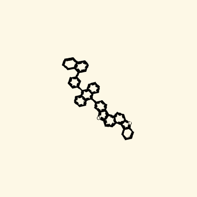 C1=Cc2cccc(-c3cccc(-c4c5ccccc5c(-c5ccc6c(c5)oc5ccc7c(ccc8oc9c(c87)CCC=C9)c56)c5ccccc45)c3)c2CC1